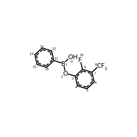 OB(Oc1cccc(C(F)(F)F)c1F)c1ccccc1